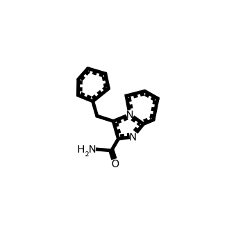 NC(=O)c1nc2ccccn2c1Cc1ccccc1